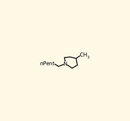 CCCCCCN1CCC(C)CC1